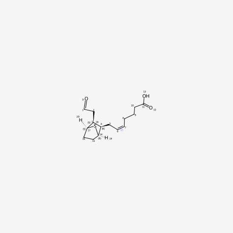 O=CC[C@H]1[C@@H](C/C=C\CCCC(=O)O)[C@H]2CC[C@@H]1S2